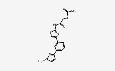 Cn1ccc(-c2cccc(-c3csc(NC(=O)COC(N)=O)n3)c2)n1